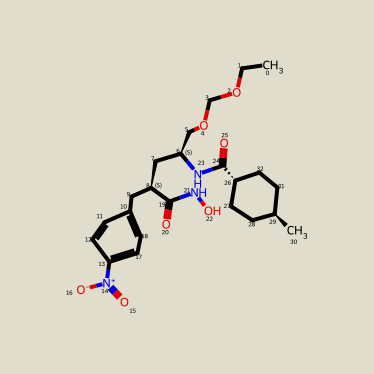 CCOCOC[C@H](C[C@H](Cc1ccc([N+](=O)[O-])cc1)C(=O)NO)NC(=O)[C@H]1CC[C@H](C)CC1